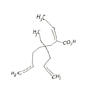 C=CCC(C)(CC=C)C(=CC)C(=O)O